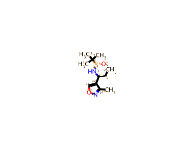 CC[C@H](N[S@@+]([O-])C(C)(C)C)c1conc1C